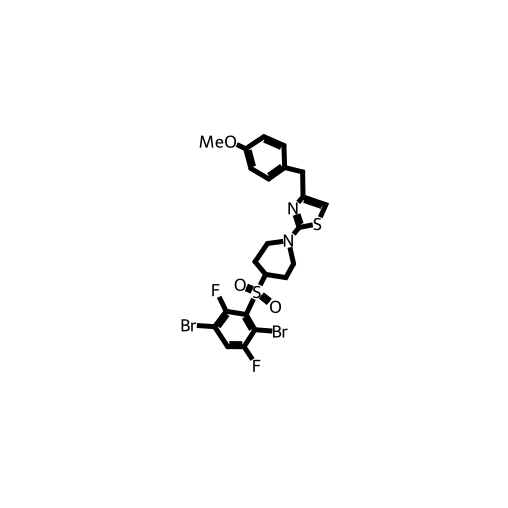 COc1ccc(Cc2csc(N3CCC(S(=O)(=O)c4c(F)c(Br)cc(F)c4Br)CC3)n2)cc1